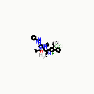 Cc1nc2c(F)c(-c3cccc(Cl)c3Cl)c(CCC#N)cc2c2c1cc(C1CC(n3cnc(-c4ccccc4)n3)CN1C(=O)C1CC1)n2C1C2CNC1C2